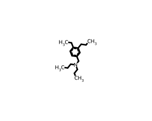 CCCc1cc(CN(CCC)CCC)ccc1CC